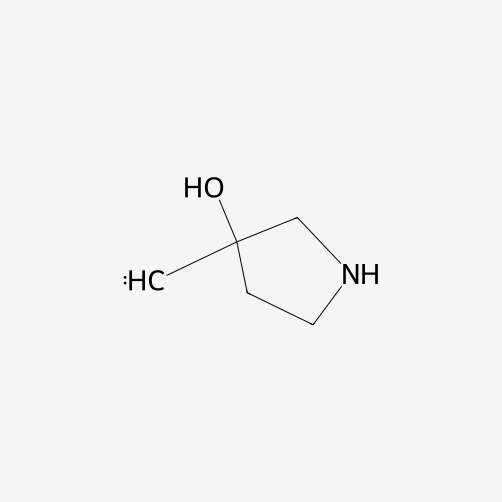 [CH]C1(O)CCNC1